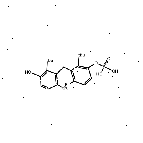 CC(C)(C)c1ccc(O)c(C(C)(C)C)c1Cc1c(C(C)(C)C)ccc(OP(=O)(O)O)c1C(C)(C)C